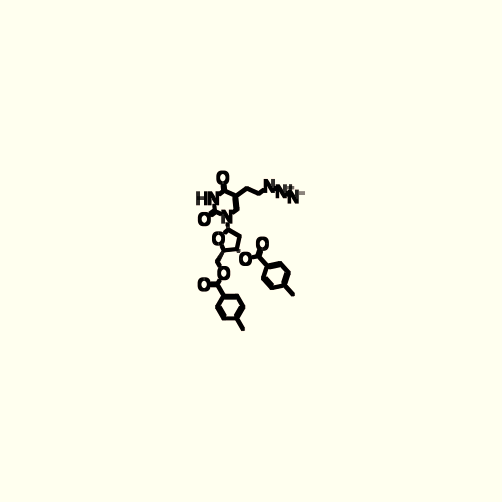 Cc1ccc(C(=O)OC[C@H]2O[C@@H](n3cc(CCN=[N+]=[N-])c(=O)[nH]c3=O)C[C@@H]2OC(=O)c2ccc(C)cc2)cc1